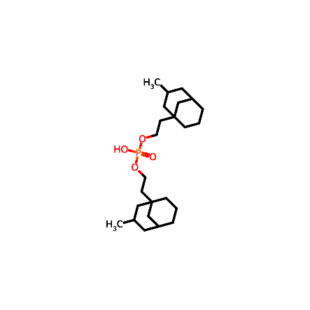 CC1CC2CCCC(CCOP(=O)(O)OCCC34CCCC(CC(C)C3)C4)(C1)C2